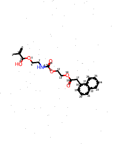 C=C(C)C(O)OCCNC(=O)OCCOC(=O)Cc1cccc2ccccc12